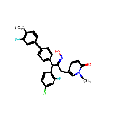 Cn1cc(CC(=NO)C(c2ccc(-c3ccc(C(=O)O)c(F)c3)cc2)c2ccc(Cl)cc2F)ccc1=O